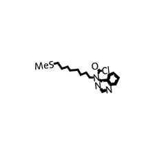 CSCCCCCCCCN(C(=O)Cl)c1ncnc2ccccc12